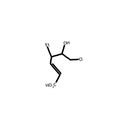 CCC(C=CC(=O)O)C(O)CCl